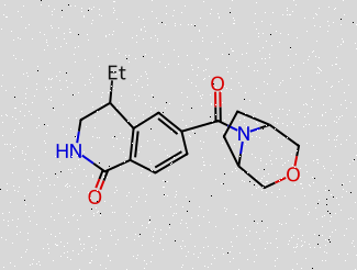 CCC1CNC(=O)c2ccc(C(=O)N3C4CCC3COC4)cc21